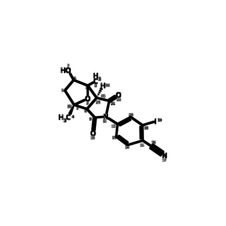 CC12O[C@@](C)(CC1O)C1C(=O)N(c3ccc(C#N)c(I)c3)C(=O)[C@@H]12